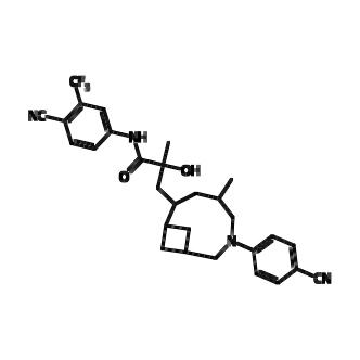 CC1CC(CC(C)(O)C(=O)Nc2ccc(C#N)c(C(F)(F)F)c2)C2CC(C2)CN(c2ccc(C#N)cc2)C1